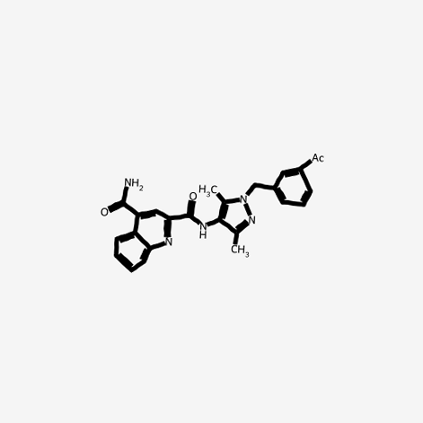 CC(=O)c1cccc(Cn2nc(C)c(NC(=O)c3cc(C(N)=O)c4ccccc4n3)c2C)c1